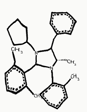 Cc1ccccc1N1C(c2c(C)cccc2C)N(C2CCCC2)C(c2ccccc2)[C@@H]1C